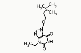 CCn1c(=O)[nH]c(=O)c2c1ncn2COCCS(C)(C)C